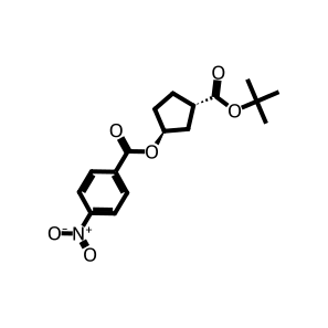 CC(C)(C)OC(=O)[C@H]1CC[C@H](OC(=O)c2ccc([N+](=O)[O-])cc2)C1